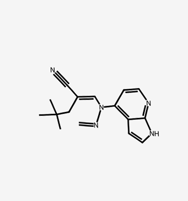 C=NN(/C=C(/C#N)CC(C)(C)C)c1ccnc2[nH]ccc12